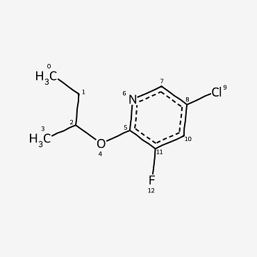 CCC(C)Oc1ncc(Cl)cc1F